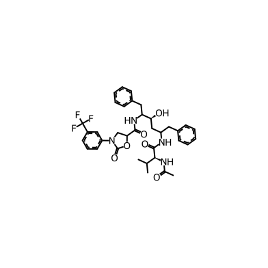 CC(=O)N[C@H](C(=O)NC(Cc1ccccc1)C[C@H](O)C(Cc1ccccc1)NC(=O)C1CN(c2cccc(C(F)(F)F)c2)C(=O)O1)C(C)C